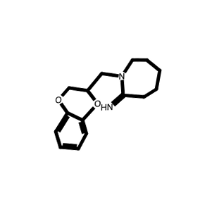 N=C1CCCCCN1CC1COc2ccccc2O1